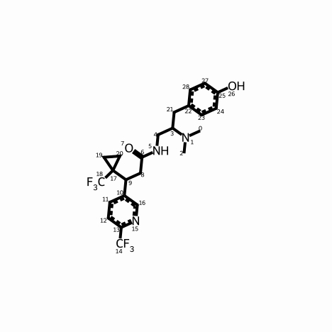 CN(C)C(CNC(=O)CC(c1ccc(C(F)(F)F)nc1)C1(C(F)(F)F)CC1)Cc1ccc(O)cc1